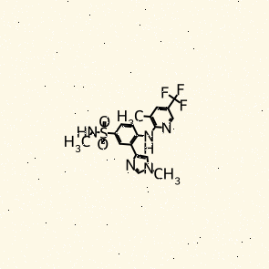 CNS(=O)(=O)c1ccc(Nc2ncc(C(F)(F)F)cc2C)c(-c2cn(C)cn2)c1